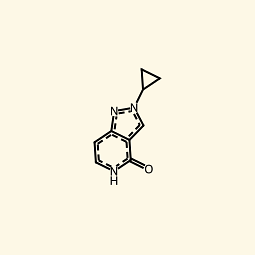 O=c1[nH]ccc2nn(C3CC3)cc12